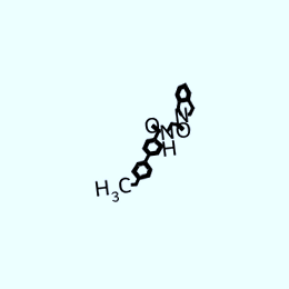 CCc1ccc(-c2ccc(C(=O)NCC(=O)N3CCc4ccccc4C3)cc2)cc1